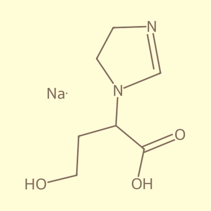 O=C(O)C(CCO)N1C=NCC1.[Na]